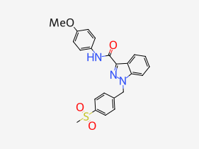 COc1ccc(NC(=O)c2nn(Cc3ccc(S(C)(=O)=O)cc3)c3ccccc23)cc1